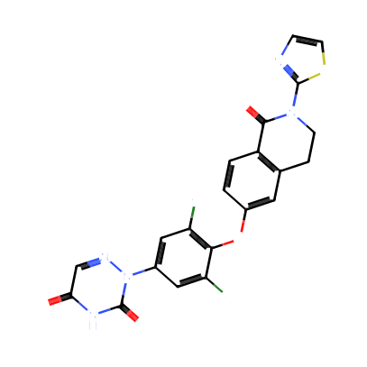 O=C1c2ccc(Oc3c(Cl)cc(-n4ncc(=O)[nH]c4=O)cc3Cl)cc2CCN1c1nccs1